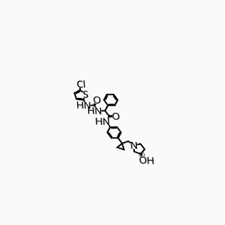 O=C(Nc1ccc(Cl)s1)NC(C(=O)Nc1ccc(C2(CN3CC[C@@H](O)C3)CC2)cc1)c1ccccc1